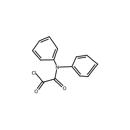 O=C(Cl)C(=O)N(c1ccccc1)c1ccccc1